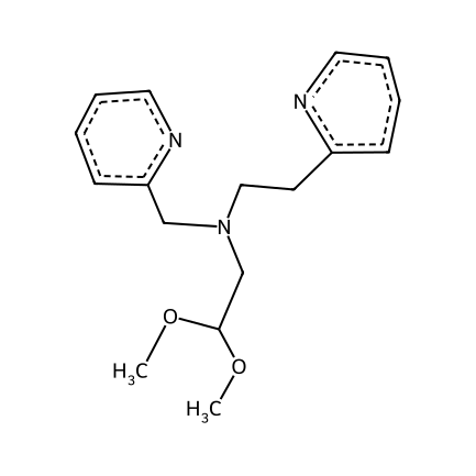 COC(CN(CCc1ccccn1)Cc1ccccn1)OC